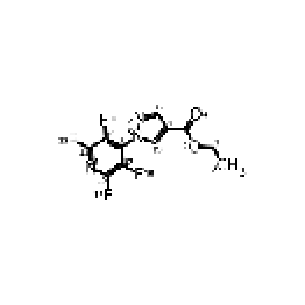 CCOC(=O)c1cnn(-c2c(F)c(F)nc(F)c2F)c1